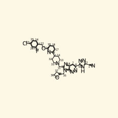 N#Cc1nnc(-c2cc3nc(CN4CCC(c5cccc(OCc6ccc(Cl)cc6F)n5)CC4)n(C[C@@H]4CCO4)c3nn2)[nH]1